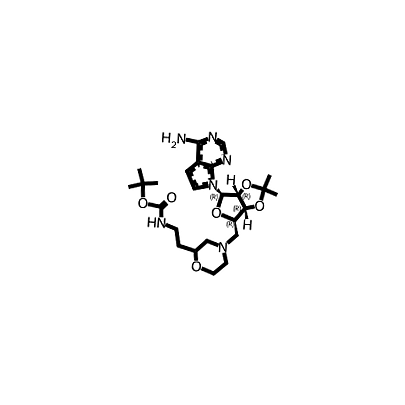 CC(C)(C)OC(=O)NCCC1CN(C[C@H]2O[C@@H](n3ccc4c(N)ncnc43)[C@@H]3OC(C)(C)O[C@@H]32)CCO1